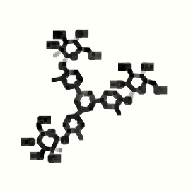 Cc1cc(-c2cc(-c3ccc(O[C@H]4O[C@H](CO)[C@@H](O)[C@H](O)[C@]4(C)O)c(C)c3)cc(-c3ccc(O[C@H]4O[C@H](CO)[C@@H](O)[C@H](O)[C@]4(C)O)c(C)c3)c2)ccc1O[C@H]1O[C@H](CO)[C@@H](O)[C@H](O)[C@@H]1O